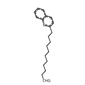 O=CCCCCCCCCCCc1ccc2ccccc2n1